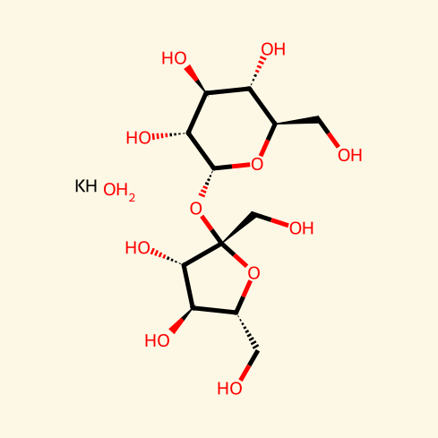 O.OC[C@H]1O[C@@](CO)(O[C@H]2O[C@H](CO)[C@@H](O)[C@H](O)[C@H]2O)[C@@H](O)[C@@H]1O.[KH]